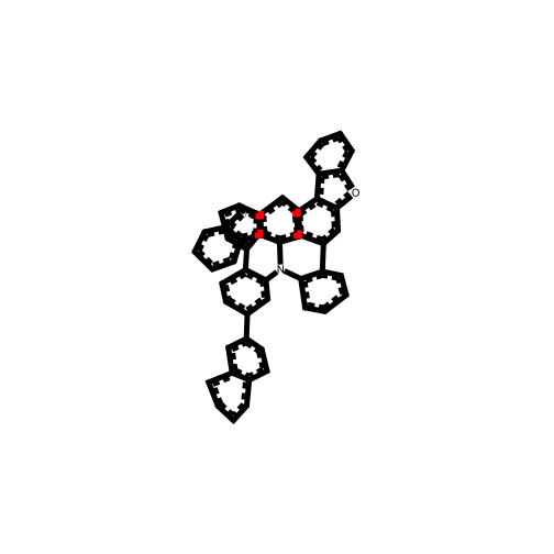 c1ccc(-c2ccc(-c3ccc4ccccc4c3)cc2N(c2ccccc2-c2ccc3c(c2)oc2ccccc23)c2cccc3sc4ccccc4c23)cc1